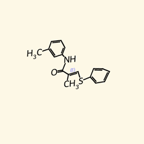 C/C(=C\Sc1ccccc1)C(=O)Nc1cccc(C)c1